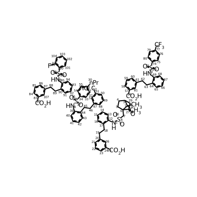 CC1(C)C2CCC1(CS(=O)(=O)Nc1ccccc1CCc1cccc(C(=O)O)c1)C(=O)C2.CCCc1ccc(S(=O)(=O)Nc2ccccc2CCc2cccc(C(=O)O)c2)cc1.O=C(O)c1cccc(CCc2ccccc2NS(=O)(=O)c2ccc(C(F)(F)F)cc2)c1.O=C(O)c1cccc(CCc2ccccc2NS(=O)(=O)c2ccccc2F)c1